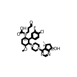 CO[C@H]1CC[C@@H](N(CCC=O)C(=O)O)C(c2ccc(Cl)c(F)c2)C1N1CCN(c2ncnc3c2[C@H](C)C[C@H]3O)CC1